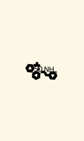 CC(C)(C)[Si](OCC(N)Cc1ccccc1)(c1ccccc1)c1ccccc1